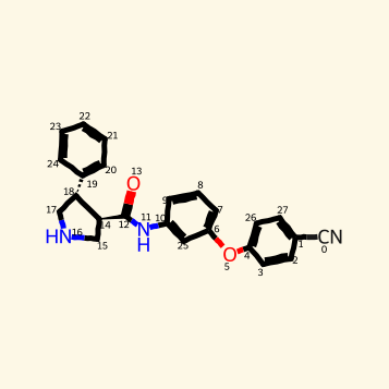 N#Cc1ccc(Oc2cccc(NC(=O)[C@H]3CNC[C@@H]3c3ccccc3)c2)cc1